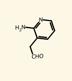 Nc1ncccc1CC=O